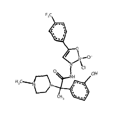 CN1CCN(C(C)(C(=O)NN2C=C(c3ccc(C(F)(F)F)cc3)O[N+]2([O-])Cl)c2cccc(O)c2)CC1